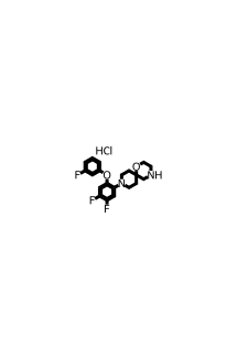 Cl.Fc1cccc(Oc2cc(F)c(F)cc2N2CCC3(CC2)CNCCO3)c1